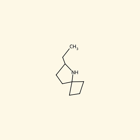 CCC1CCC2(CCC2)N1